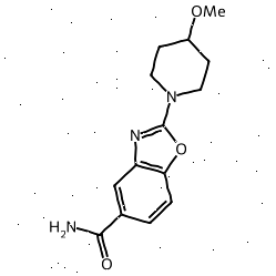 COC1CCN(c2nc3cc(C(N)=O)ccc3o2)CC1